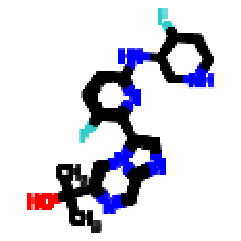 CC(C)(O)c1cn2c(-c3nc(NC4CNCCC4F)ccc3F)cnc2cn1